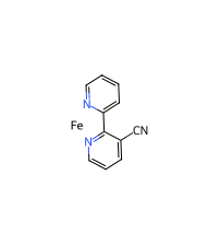 N#Cc1cccnc1-c1ccccn1.[Fe]